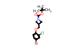 CC(C)(C)OC(=O)N1CC(COc2ccc(Br)cc2Cl)C1